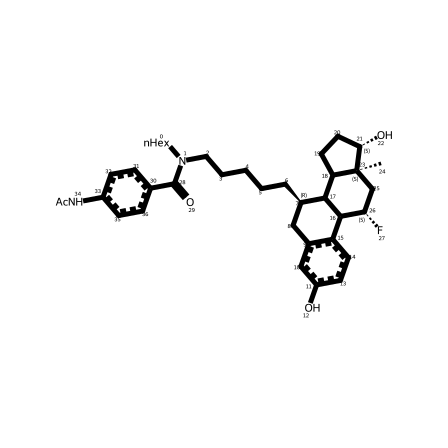 CCCCCCN(CCCCC[C@@H]1Cc2cc(O)ccc2C2C1C1CC[C@H](O)[C@@]1(C)C[C@@H]2F)C(=O)c1ccc(NC(C)=O)cc1